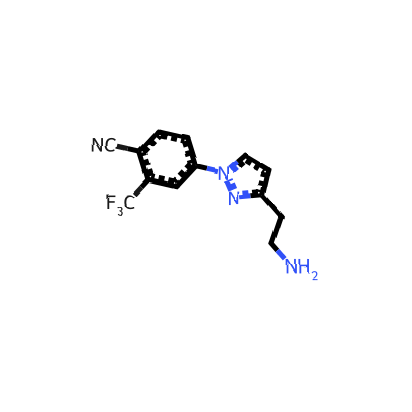 N#Cc1ccc(-n2ccc(CCN)n2)cc1C(F)(F)F